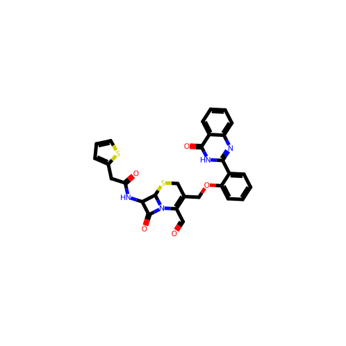 O=CC1=C(COc2ccccc2-c2nc3ccccc3c(=O)[nH]2)CSC2C(NC(=O)Cc3cccs3)C(=O)N12